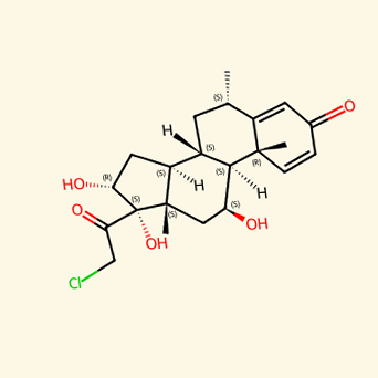 C[C@H]1C[C@@H]2[C@H]([C@@H](O)C[C@@]3(C)[C@H]2C[C@@H](O)[C@]3(O)C(=O)CCl)[C@@]2(C)C=CC(=O)C=C12